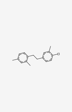 Cc1ccc(CCc2ccc(Cl)c(C)c2)c(C)c1